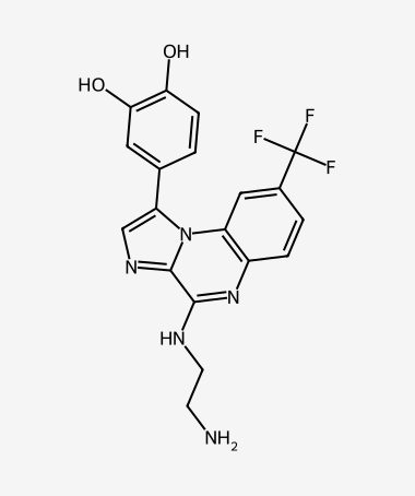 NCCNc1nc2ccc(C(F)(F)F)cc2n2c(-c3ccc(O)c(O)c3)cnc12